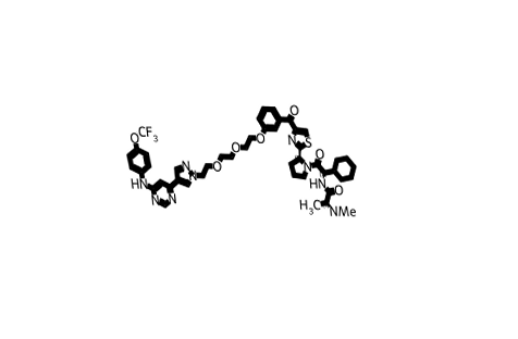 CN[C@@H](C)C(=O)N[C@H](C(=O)N1CCC[C@H]1c1nc(C(=O)c2cccc(OCCOCCOCCn3cc(-c4cc(Nc5ccc(OC(F)(F)F)cc5)ncn4)cn3)c2)cs1)C1CCCCC1